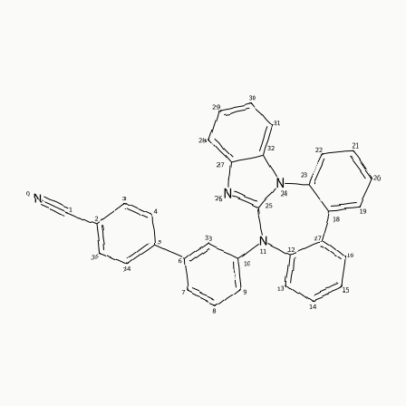 N#Cc1ccc(-c2cccc(N3c4ccccc4-c4ccccc4-n4c3nc3ccccc34)c2)cc1